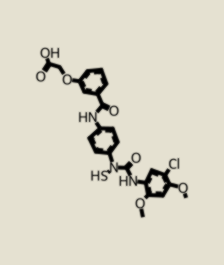 COc1cc(OC)c(NC(=O)N(S)c2ccc(NC(=O)c3cccc(OCC(=O)O)c3)cc2)cc1Cl